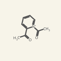 CC(=O)c1cccc[n+]1C(C)=O